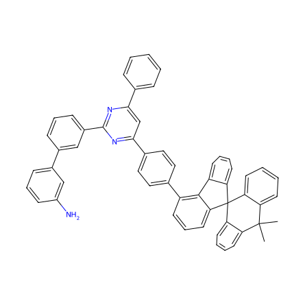 CC1(C)c2ccccc2C2(c3ccccc3-c3c(-c4ccc(-c5cc(-c6ccccc6)nc(-c6cccc(-c7cccc(N)c7)c6)n5)cc4)cccc32)c2ccccc21